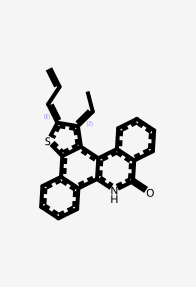 C=C/C=c1/sc2c3ccccc3c3[nH]c(=O)c4ccccc4c3c2/c1=C/C